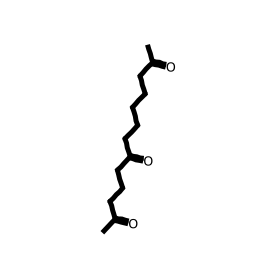 CC(=O)CCCCCC(=O)CCCC(C)=O